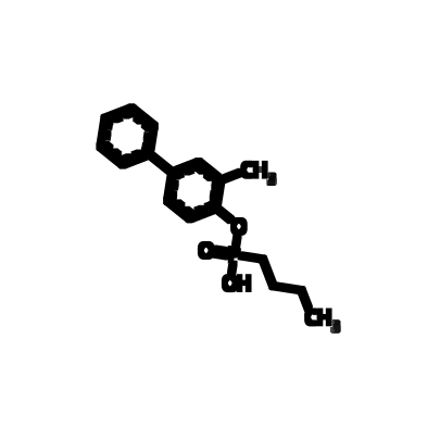 CCCCP(=O)(O)Oc1ccc(-c2ccccc2)cc1C